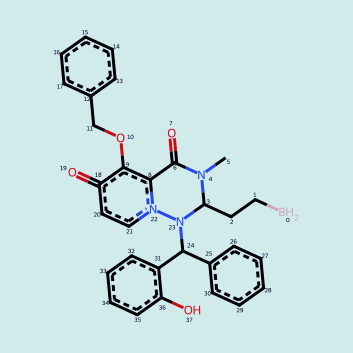 BCCC1N(C)C(=O)c2c(OCc3ccccc3)c(=O)ccn2N1C(c1ccccc1)c1ccccc1O